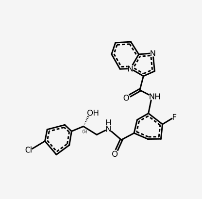 O=C(NC[C@@H](O)c1ccc(Cl)cc1)c1ccc(F)c(NC(=O)c2cnc3ccccn23)c1